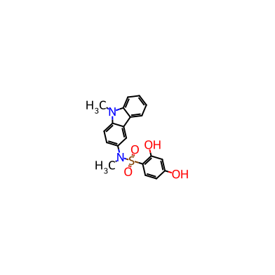 CN(c1ccc2c(c1)c1ccccc1n2C)S(=O)(=O)c1ccc(O)cc1O